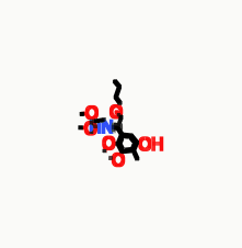 CCCCOC[C@H](NCC(OC)OC)c1cc(O)c(C)c(OC)c1OC